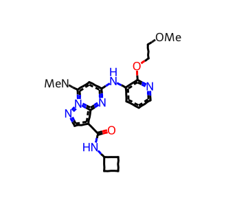 CNc1cc(Nc2cccnc2OCCOC)nc2c(C(=O)NC3CCC3)cnn12